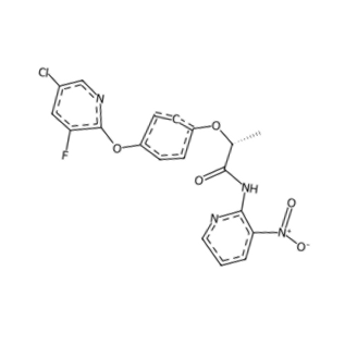 C[C@@H](Oc1ccc(Oc2ncc(Cl)cc2F)cc1)C(=O)Nc1ncccc1[N+](=O)[O-]